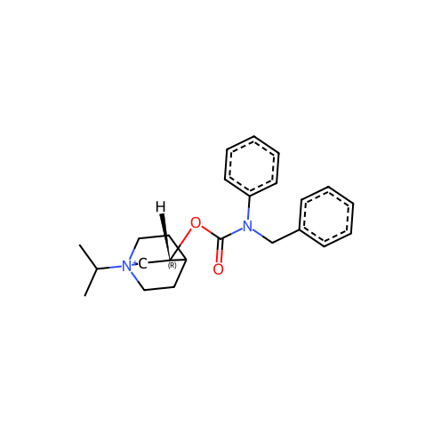 CC(C)[N+]12CCC(CC1)[C@@H](OC(=O)N(Cc1ccccc1)c1ccccc1)C2